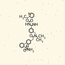 CC(OC(=O)NC(=N)c1cccc(CN(C(=O)Cc2ccc(-c3ccccc3S(N)(=O)=O)cc2)C(C)C)c1)c1ccccn1